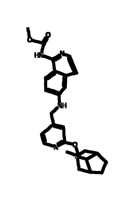 COC(=O)Nc1nccc2cc(NCc3ccnc(OCC4C5CCC4CN(C)C5)c3)ccc12